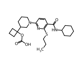 CCCSc1nc(N2CCCC(C3(OC(=O)O)CCC3)C2)ccc1C(=O)NC1CCCCC1